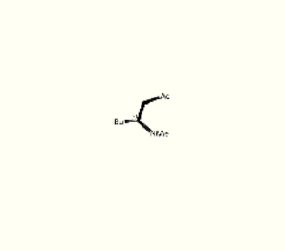 CCC(C)[C@@H](CC(C)=O)NC